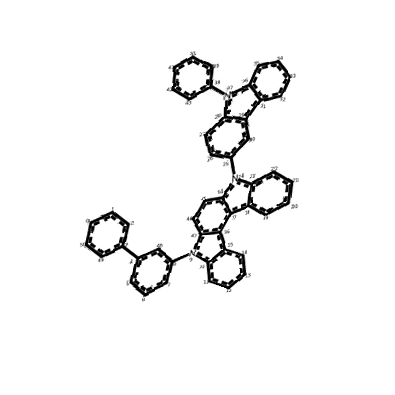 c1ccc(-c2cccc(-n3c4ccccc4c4c5c6ccccc6n(-c6ccc7c(c6)c6ccccc6n7-c6ccccc6)c5ccc43)c2)cc1